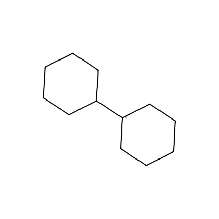 C1CC[C](C2CCCCC2)CC1